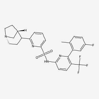 Cc1ccc(F)cc1-c1nc(NS(=O)(=O)c2cccc(C3CC[N@]4CC[C@H]3C4)n2)ccc1C(F)(F)F